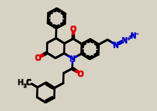 CC1C=C(CCC(=O)N2c3ccc(CN=[N+]=[N-])cc3C(=O)C3C(c4ccccc4)CC(=O)CC32)C=CC1